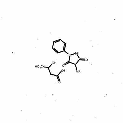 CCCCC1C(=O)NN(c2ccccc2)C1=O.O=C(S)CC(O)C(=O)O